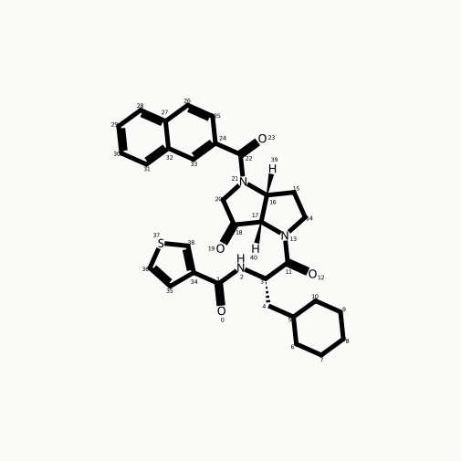 O=C(N[C@@H](CC1CCCCC1)C(=O)N1CC[C@@H]2[C@H]1C(=O)CN2C(=O)c1ccc2ccccc2c1)c1ccsc1